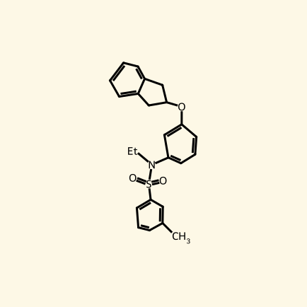 CCN(c1cccc(OC2Cc3ccccc3C2)c1)S(=O)(=O)c1cccc(C)c1